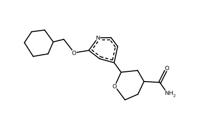 NC(=O)C1CCOC(c2ccnc(OCC3CCCCC3)c2)C1